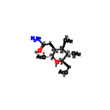 CC(=O)OC[C@H]1O[C@H](OC(C)=O)[C@@H](CC(N)=O)[C@@H](OC(C)=O)[C@@H]1OC(C)=O